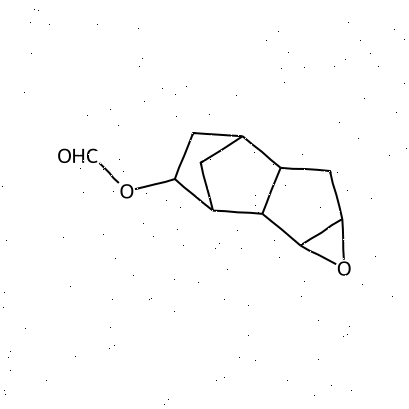 O=COC1CC2CC1C1C2CC2OC21